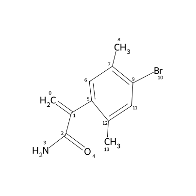 C=C(C(N)=O)c1cc(C)c(Br)cc1C